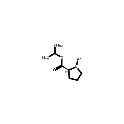 CCCCCCC(C)OC(=O)[C@@H]1CCCN1C(C)=O